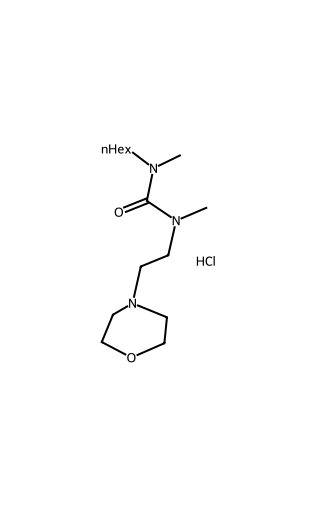 CCCCCCN(C)C(=O)N(C)CCN1CCOCC1.Cl